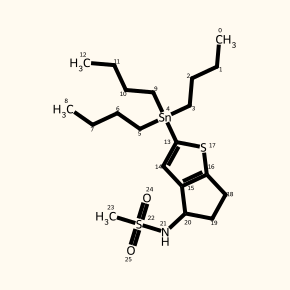 CCC[CH2][Sn]([CH2]CCC)([CH2]CCC)[c]1cc2c(s1)CCC2NS(C)(=O)=O